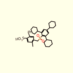 Cc1cc(S(=O)(=O)O)c(C(C)C)cc1CS(=O)(=O)c1c(C2CCCCC2)cc(C2CCCCC2)cc1C1CCCCC1